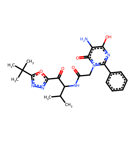 CC(C)C(NC(=O)Cn1c(-c2ccccc2)nc(O)c(N)c1=O)C(=O)c1nnc(C(C)(C)C)o1